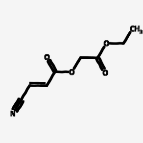 CCOC(=O)COC(=O)C=CC#N